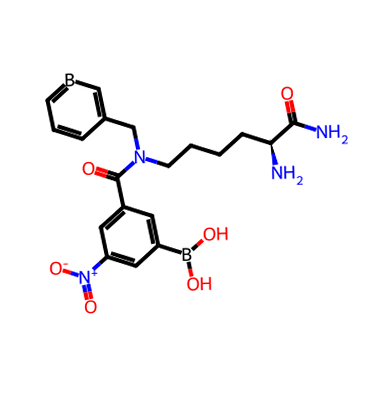 NC(=O)[C@@H](N)CCCCN(Cc1cbccc1)C(=O)c1cc(B(O)O)cc([N+](=O)[O-])c1